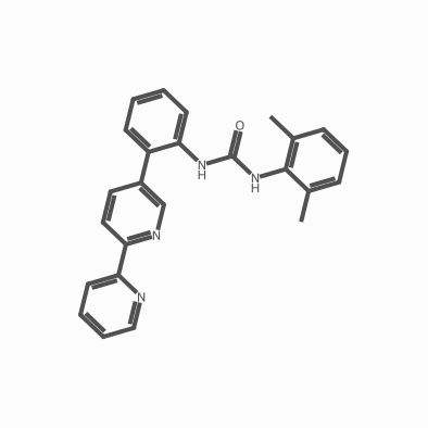 Cc1cccc(C)c1NC(=O)Nc1ccccc1-c1ccc(-c2ccccn2)nc1